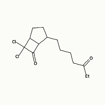 CCC(=O)CCCCC1CCC2C1C(=O)C2(Cl)Cl